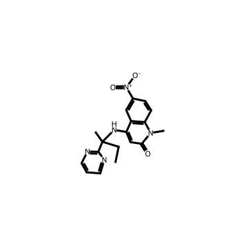 CCC(C)(Nc1cc(=O)n(C)c2ccc([N+](=O)[O-])cc12)c1ncccn1